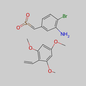 C=Cc1c(OC)cc(OC)cc1OC.Nc1cc(C=S(=O)=O)ccc1Br